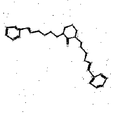 O=C1C(CCCCC=Cc2ccccc2)CCCC1CCCCC=Cc1ccccc1